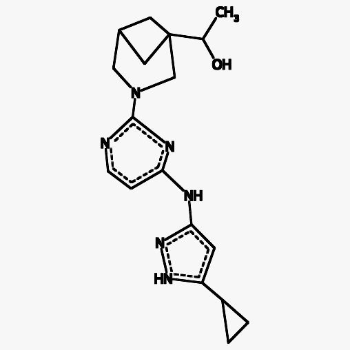 CC(O)C12CC(CN(c3nccc(Nc4cc(C5CC5)[nH]n4)n3)C1)C2